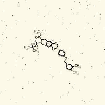 COC(=O)C1Cc2cc3c(cc2CN1C(=O)OC(C)(C)C)O[C@@H](c1ccc(OCc2ccc(C)c(C)c2)cc1)CO3